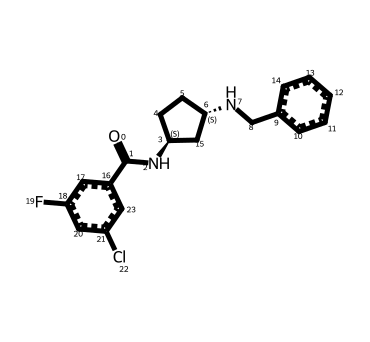 O=C(N[C@H]1CC[C@H](NCc2ccccc2)C1)c1cc(F)cc(Cl)c1